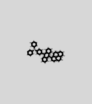 c1ccc(N(c2ccccc2)c2ccc(-c3c4ccccc4c(-c4ccc5ccc6cccc7ccc4c5c67)c4ccccc34)cc2)cc1